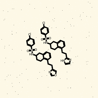 O=S(=O)(NC1CCc2c(CCc3cocn3)cccc2C1)c1ccc(Cl)cc1.O=S(=O)(NC1CCc2c(CCc3ncc[nH]3)cccc2C1)c1ccc(Cl)cc1